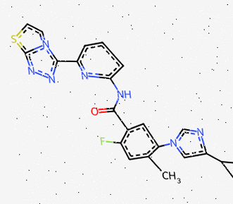 Cc1cc(F)c(C(=O)Nc2cccc(-c3nnc4sccn34)n2)cc1-n1cnc(C2CC2)c1